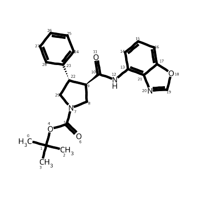 CC(C)(C)OC(=O)N1C[C@H](C(=O)Nc2cccc3ocnc23)[C@@H](c2ccccc2)C1